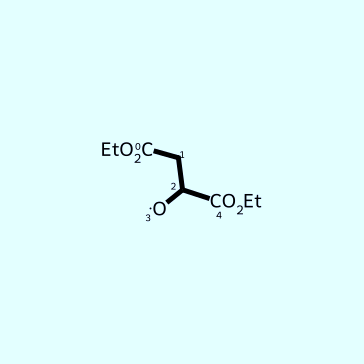 CCOC(=O)CC([O])C(=O)OCC